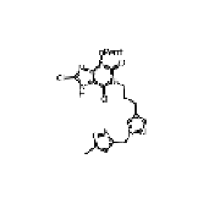 CCCCCn1c(=O)n(CCCc2cnn(Cc3cc(C)on3)c2)c(=O)c2[nH]c(Cl)nc21